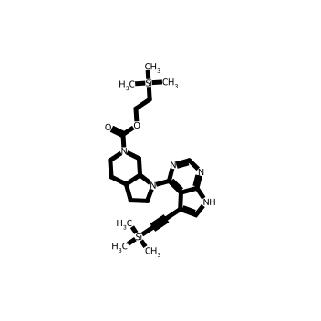 C[Si](C)(C)C#Cc1c[nH]c2ncnc(N3CCC4CCN(C(=O)OCC[Si](C)(C)C)CC43)c12